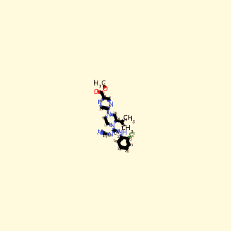 COC(=O)c1cnc(N2CCN(/C(=N\C#N)Nc3ccccc3Cl)C(C(C)C)C2)cn1